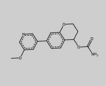 COc1cncc(-c2ccc3c(c2)OCCC3OC(N)=O)c1